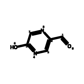 O=Cc1cnc(O)cn1